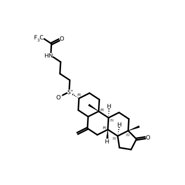 C=C1C[C@@H]2[C@H](CC[C@]3(C)C(=O)CC[C@@H]23)[C@@]2(C)CC[C@@H]([S+]([O-])CCCNC(=O)C(F)(F)F)CC12